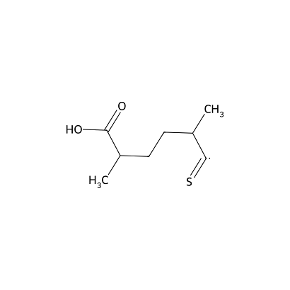 CC([C]=S)CCC(C)C(=O)O